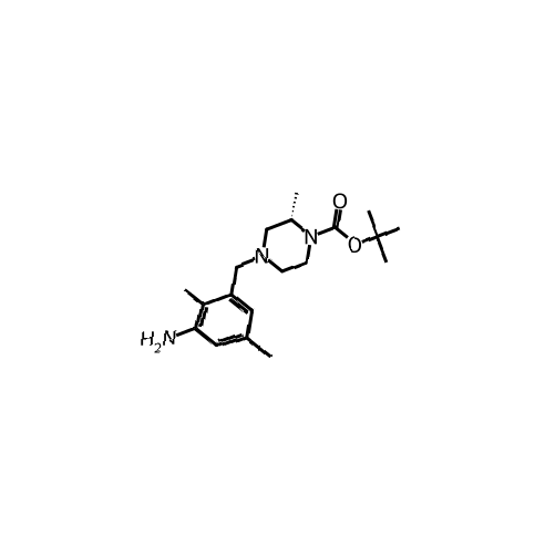 Cc1cc(N)c(C)c(CN2CCN(C(=O)OC(C)(C)C)[C@@H](C)C2)c1